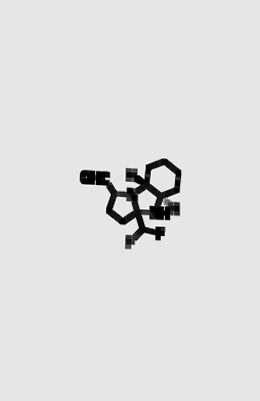 O=CC1CCC2(C(F)F)N[C@@H]3CCCC[C@H]3N12